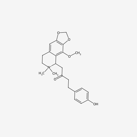 COc1c2c(cc3c1C(CC(=O)CCc1ccc(O)cc1)[N+](C)(C)CC3)OCO2